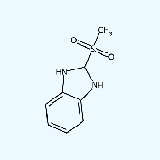 CS(=O)(=O)C1Nc2ccccc2N1